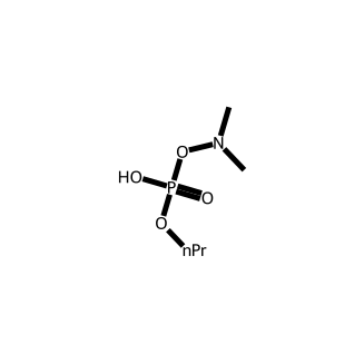 CCCOP(=O)(O)ON(C)C